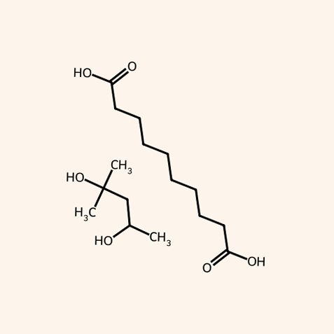 CC(O)CC(C)(C)O.O=C(O)CCCCCCCCC(=O)O